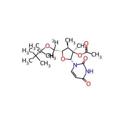 [2H]C([2H])(O[Si](C)(C)C(C)(C)C)[C@H]1O[C@@H](n2ccc(=O)[nH]c2=O)[C@](C)(OC(C)=O)[C@@H]1C